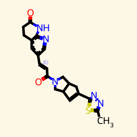 Cc1nnc(C2=CC3CN(C(=O)/C=C/c4cnc5c(c4)CCC(=O)N5)CC3C2)s1